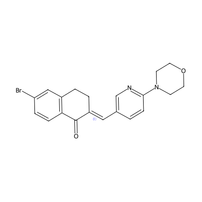 O=C1/C(=C/c2ccc(N3CCOCC3)nc2)CCc2cc(Br)ccc21